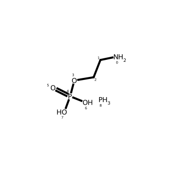 NCCOP(=O)(O)O.P